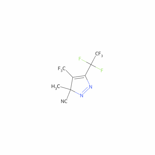 CC1(C#N)N=NC(C(F)(F)C(F)(F)F)=C1C(F)(F)F